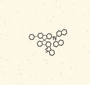 c1ccc(-c2ccc3c(c2)C2(c4cc(N(c5ccc6ccccc6c5)c5cccc6ccccc56)ccc4-3)c3ccccc3-c3c2ccc2c3sc3ccccc32)cc1